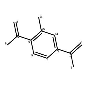 C=C(C)c1ccc(C(=C)C)c(C)c1